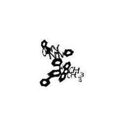 CC1(C)c2ccccc2-c2c(N(c3ccc(-c4ccccc4)cc3)c3ccc4c(c3)n(-c3ccccc3)c3nc5c6ccccc6oc5n43)cccc21